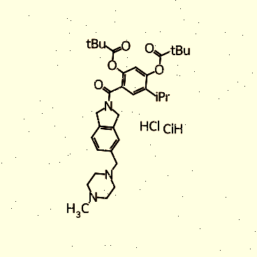 CC(C)c1cc(C(=O)N2Cc3ccc(CN4CCN(C)CC4)cc3C2)c(OC(=O)C(C)(C)C)cc1OC(=O)C(C)(C)C.Cl.Cl